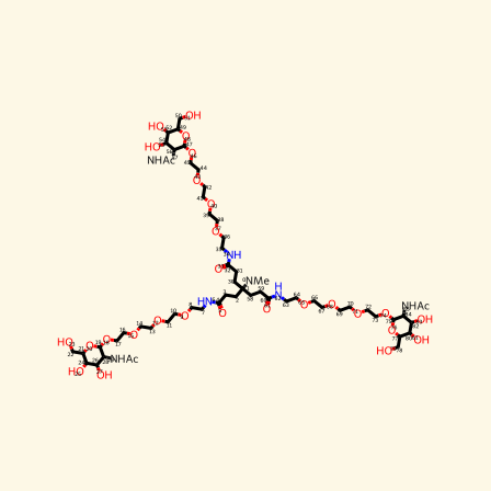 CNC(CCC(=O)NCCOCCOCCOCCOC1OC(CO)C(O)C(O)C1NC(C)=O)(CCC(=O)NCCOCCOCCOCCOC1OC(CO)C(O)C(O)C1NC(C)=O)CCC(=O)NCCOCCOCCOCCOC1OC(CO)C(O)C(O)C1NC(C)=O